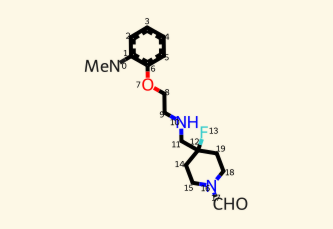 CNc1ccccc1OCCNCC1(F)CCN(C=O)CC1